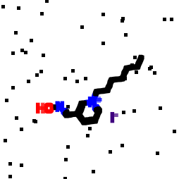 CCCCCCC[n+]1cccc(C=NO)c1.[I-]